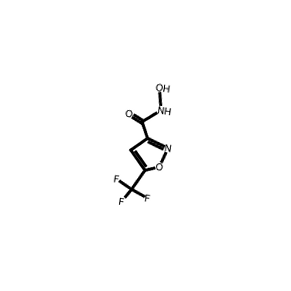 O=C(NO)c1cc(C(F)(F)F)on1